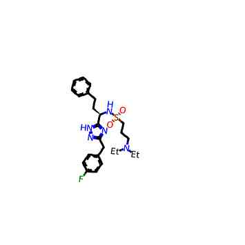 CCN(CC)CCCS(=O)(=O)N[C@H](CCc1ccccc1)c1nc(Cc2ccc(F)cc2)n[nH]1